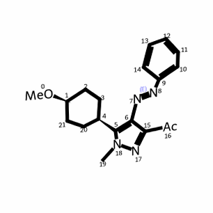 CO[C@H]1CC[C@@H](c2c(/N=N/c3ccccc3)c(C(C)=O)nn2C)CC1